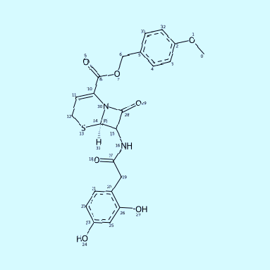 COc1ccc(COC(=O)C2=CCS[C@@H]3C(NC(=O)Cc4ccc(O)cc4O)C(=O)N23)cc1